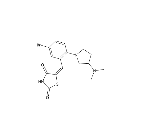 CN(C)C1CCN(c2ccc(Br)cc2C=C2SC(=O)NC2=O)C1